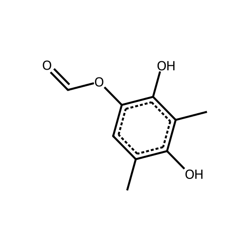 Cc1cc(OC=O)c(O)c(C)c1O